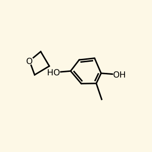 C1COC1.Cc1cc(O)ccc1O